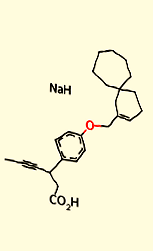 CC#CC(CC(=O)O)c1ccc(OCC2=CCCC3(CCCCCC3)C2)cc1.[NaH]